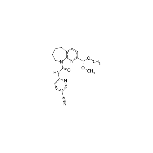 COC(OC)c1ccc2c(n1)N(C(=O)Nc1ccc(C#N)cn1)CCCC2